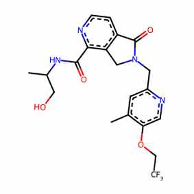 Cc1cc(CN2Cc3c(ccnc3C(=O)NC(C)CO)C2=O)ncc1OCC(F)(F)F